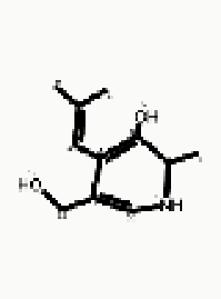 CC(C)=CC1=C(O)C(C)NC=C1CO